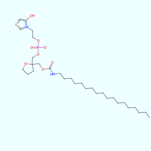 CCCCCCCCCCCCCCCCCCNC(=O)OCC1(COP(=O)([O-])OCC[n+]2cscc2O)CCCO1